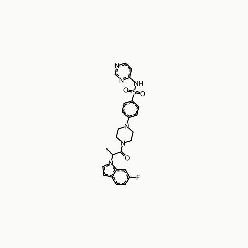 CC(C(=O)N1CCN(c2ccc(S(=O)(=O)Nc3ccncn3)cc2)CC1)n1ccc2ccc(F)cc21